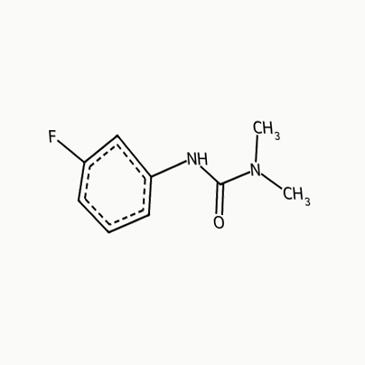 CN(C)C(=O)Nc1cccc(F)c1